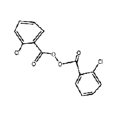 O=C(OOC(=O)c1ccccc1Cl)c1ccccc1Cl